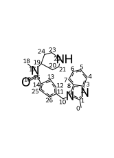 Cc1nc2ccccc2n1Cc1ccc(C(=O)N(C)C2CCNCC2)cc1